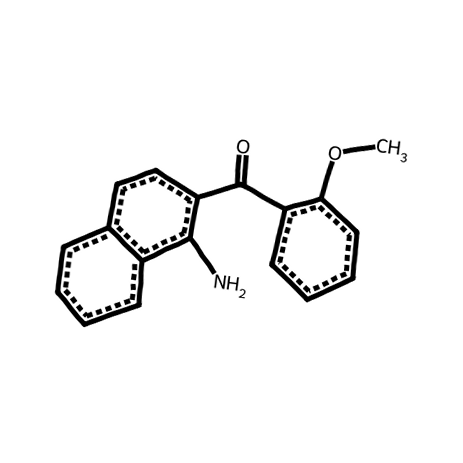 COc1ccccc1C(=O)c1ccc2ccccc2c1N